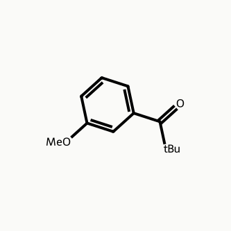 COc1cccc(C(=O)C(C)(C)C)c1